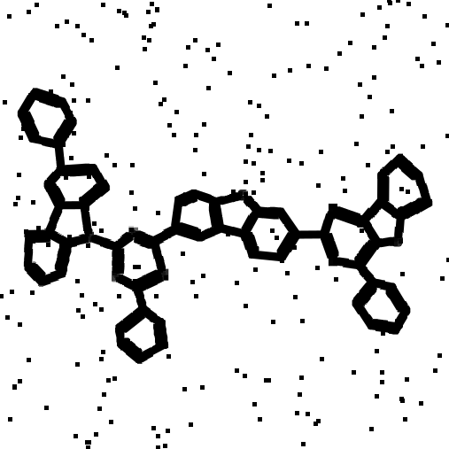 c1ccc(-c2ccc3c(c2)c2ccccc2n3-c2nc(-c3ccccc3)nc(-c3ccc4oc5cc(-c6nc(-c7ccccc7)c7oc8ccccc8c7n6)ccc5c4c3)n2)cc1